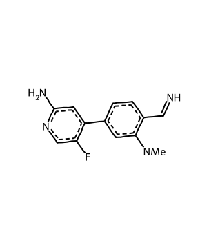 CNc1cc(-c2cc(N)ncc2F)ccc1C=N